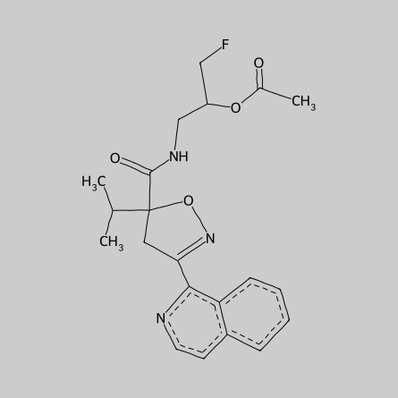 CC(=O)OC(CF)CNC(=O)C1(C(C)C)CC(c2nccc3ccccc23)=NO1